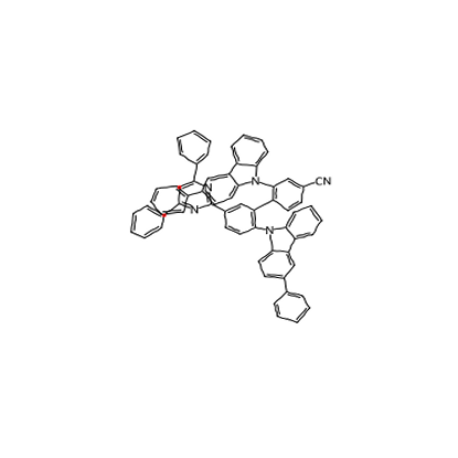 N#Cc1ccc(-c2cc(-c3nc(-c4ccccc4)cc(-c4ccccc4)n3)ccc2-n2c3ccccc3c3cc(-c4ccccc4)ccc32)c(-n2c3ccccc3c3cc(-c4ccccc4)ccc32)c1